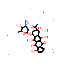 CC(=O)[C@]1(O)Cc2c(O)c3c(c(O)c2[C@@H](OC2CC(N)C(O)C(C)O2)C1)C(=O)c1c(O)cccc1C3=O.Cl